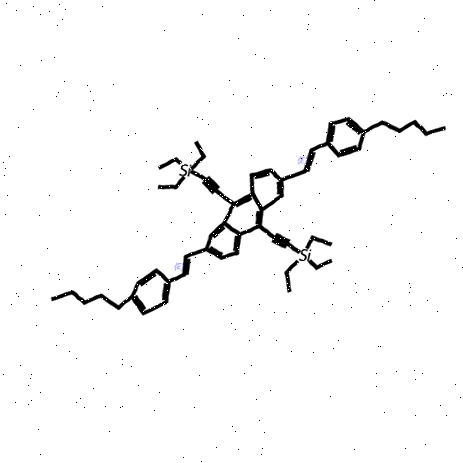 CCCCCc1ccc(/C=C/c2ccc3c(C#C[Si](CC)(CC)CC)c4cc(/C=C/c5ccc(CCCCC)cc5)ccc4c(C#C[Si](CC)(CC)CC)c3c2)cc1